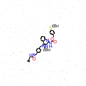 CCCCc1nc2c(NC(=O)OCc3ccc(SC(C)(C)C)cc3)nc3ccccc3c2n1Cc1ccc(CNC(=O)CC2CC2)cc1